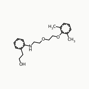 Cc1cccc(C)c1OCCOCCNc1ccccc1CCO